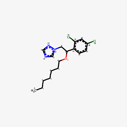 CCCCCCCOC(Cn1cncn1)c1ccc(Cl)cc1Cl